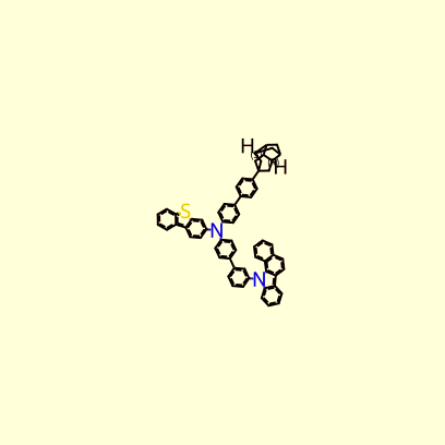 c1cc(-c2ccc(N(c3ccc(-c4ccc(C56CC7C8CC(C[C@H]8C5)[C@H]7C6)cc4)cc3)c3ccc4c(c3)sc3ccccc34)cc2)cc(-n2c3ccccc3c3ccc4ccccc4c32)c1